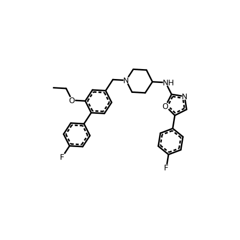 CCOc1cc(CN2CCC(Nc3ncc(-c4ccc(F)cc4)o3)CC2)ccc1-c1ccc(F)cc1